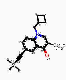 CCOC(=O)c1cn(CC2CCC2)c2ccc(C#C[Si](C)(C)C)cc2c1=O